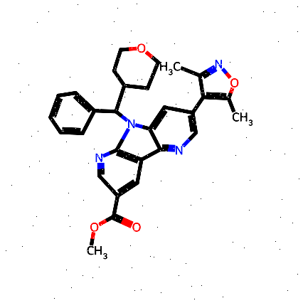 COC(=O)c1cnc2c(c1)c1ncc(-c3c(C)noc3C)cc1n2C(c1ccccc1)C1CCOCC1